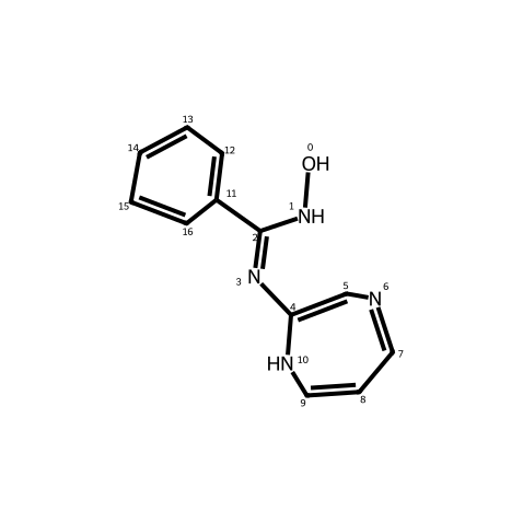 ONC(=NC1=CN=CC=CN1)c1ccccc1